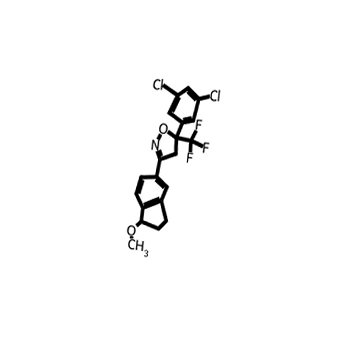 COC1CCc2cc(C3=NOC(c4cc(Cl)cc(Cl)c4)(C(F)(F)F)C3)ccc21